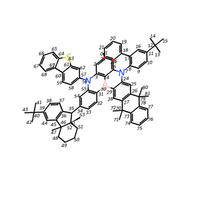 Cc1cc2c3c(c1)N(c1ccc(C(C)(C)C)cc1-c1ccccc1)c1cc4c(cc1B3c1ccc(C3c5ccc(C(C)(C)C)cc5C5(C)CCCC[C@@]35C)cc1N2c1ccc2c(c1)sc1ccccc12)C(C)(C)c1ccccc1C4(C)C